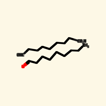 CCCCCCCCC=O.O=CCCCCCCCC(=O)O